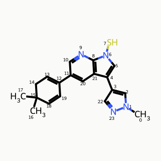 Cn1cc(-c2cn(S)c3ncc(C4=CCC(C)(C)C=C4)cc23)cn1